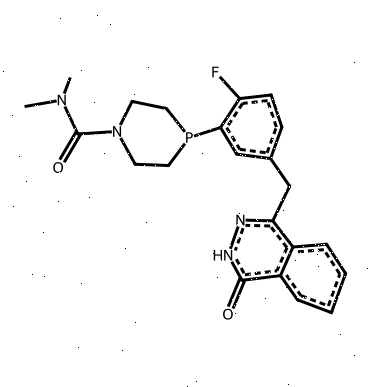 CN(C)C(=O)N1CCP(c2cc(Cc3n[nH]c(=O)c4ccccc34)ccc2F)CC1